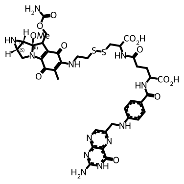 CO[C@@]12C(COC(N)=O)C3=C(C(=O)C(C)=C(NCCSSCC(NC(=O)CCC(NC(=O)c4ccc(NCc5cnc6nc(N)[nH]c(=O)c6n5)cc4)C(=O)O)C(=O)O)C3=O)N1C[C@@H]1N[C@@H]12